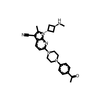 CN[C@H]1C[C@H](n2c(C)c(C#N)c3ccc(N4CCN(c5ccc(C(C)=O)cc5)CC4)nc32)C1